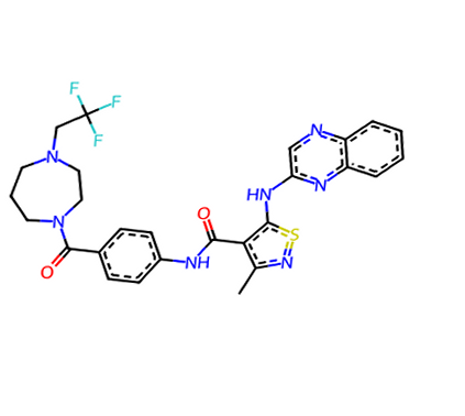 Cc1nsc(Nc2cnc3ccccc3n2)c1C(=O)Nc1ccc(C(=O)N2CCCN(CC(F)(F)F)CC2)cc1